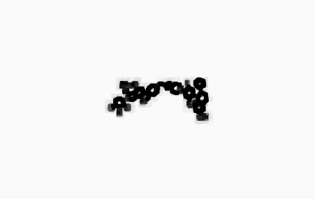 COc1cc(N2CCC3(CC2)CC(CN2CCC4(CC2)COc2c4cc(OC)c4c2CN([C@H]2CCC(=O)NC2=O)C4=O)C3)c(F)cc1[C@@H]1c2ccc(O)cc2CC[C@@H]1c1ccccc1